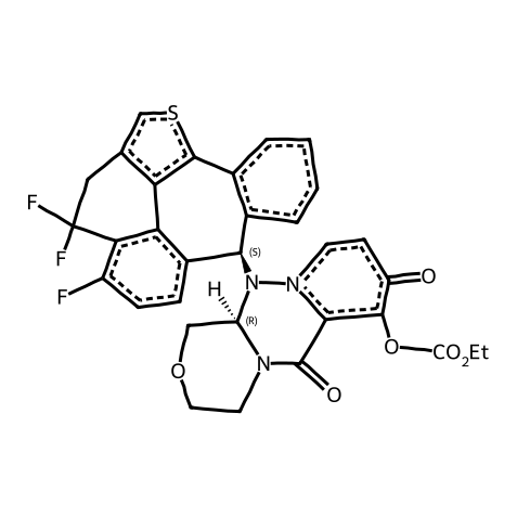 CCOC(=O)Oc1c2n(ccc1=O)N([C@@H]1c3ccccc3-c3scc4c3-c3c1ccc(F)c3C(F)(F)C4)[C@@H]1COCCN1C2=O